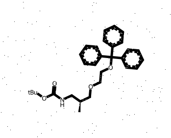 C[C@@H](CNC(=O)OC(C)(C)C)COCCOC(c1ccccc1)(c1ccccc1)c1ccccc1